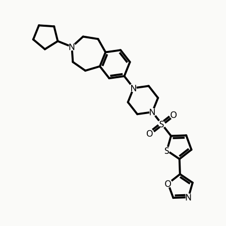 O=S(=O)(c1ccc(-c2cnco2)s1)N1CCN(c2ccc3c(c2)CCN(C2CCCC2)CC3)CC1